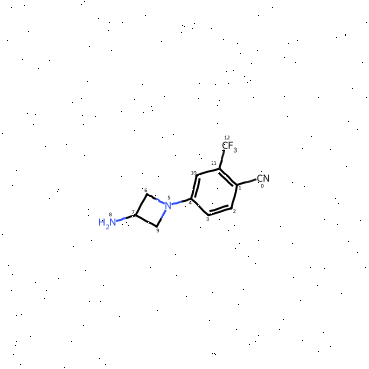 N#Cc1ccc(N2CC(N)C2)cc1C(F)(F)F